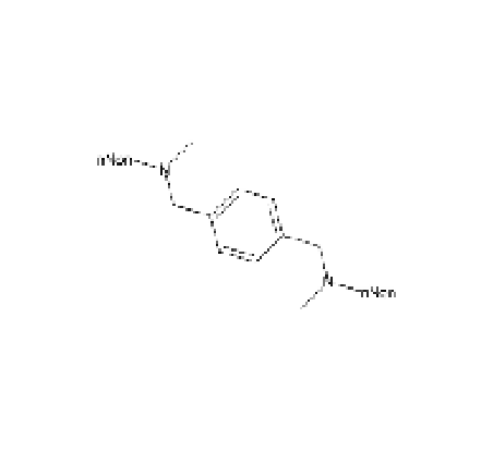 CCCCCCCCCN(C)Cc1ccc(CN(C)CCCCCCCCC)cc1